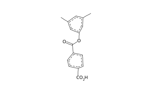 Cc1cc(C)cc(OC(=O)c2ccc(C(=O)O)cc2)c1